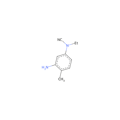 CCN(C#N)c1ccc(C)c(N)c1